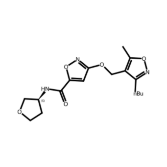 CCCCc1noc(C)c1COc1cc(C(=O)N[C@H]2CCOC2)on1